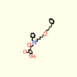 O=Cc1cc(C(=O)CN(CCCCCCOCCCCc2ccccc2)Cc2ccccc2)ccc1O